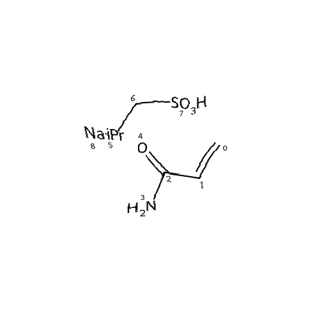 C=CC(N)=O.CC(C)CS(=O)(=O)O.[Na]